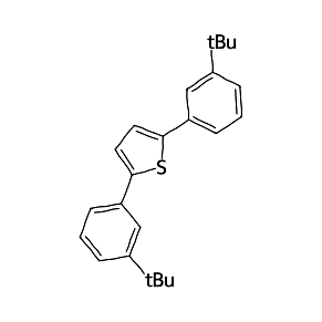 CC(C)(C)c1cccc(-c2ccc(-c3cccc(C(C)(C)C)c3)s2)c1